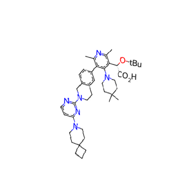 Cc1nc(C)c([C@H](OC(C)(C)C)C(=O)O)c(N2CCC(C)(C)CC2)c1-c1ccc2c(c1)CCN(c1nccc(N3CCC4(CCC4)CC3)n1)C2